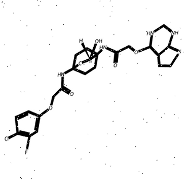 O=C(COc1ccc(Cl)c(F)c1)NC12CCC(NC(=O)COC3NCNC4SCCC34)(CC1)[C@@H](O)C2